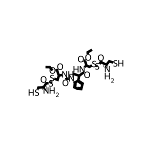 CCOC(=O)C(CSSC(=O)[C@@H](N)CS)NC(=O)C1CN(C(=O)NC(CSSC(=O)[C@@H](N)CS)C(=O)OCC)c2ccccc21